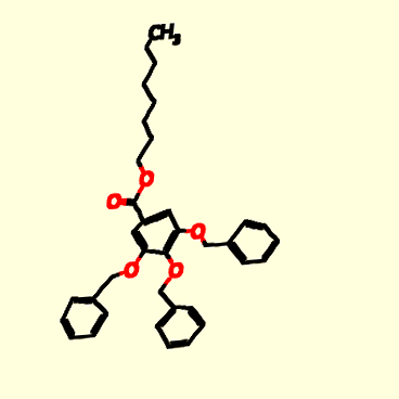 CCCCCCCCOC(=O)c1cc(OCc2ccccc2)c(OCc2ccccc2)c(OCc2ccccc2)c1